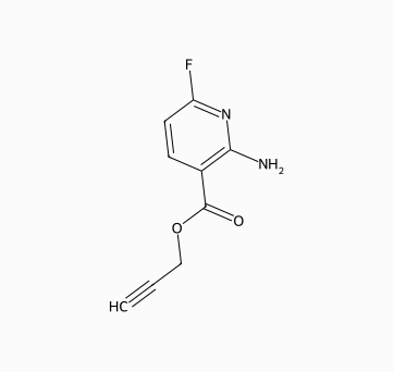 C#CCOC(=O)c1ccc(F)nc1N